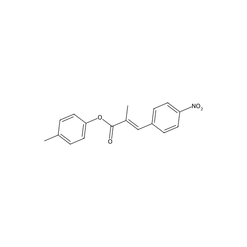 C/C(=C\c1ccc([N+](=O)[O-])cc1)C(=O)Oc1ccc(C)cc1